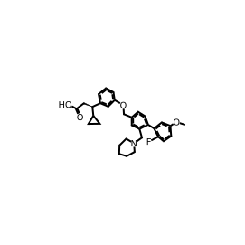 COc1ccc(F)c(-c2ccc(COc3cccc([C@H](CC(=O)O)C4CC4)c3)cc2CN2CCCCC2)c1